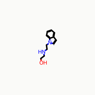 OCCNCCn1[c]cc2ccccc21